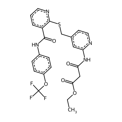 CCOC(=O)CC(=O)Nc1cc(CSc2ncccc2C(=O)Nc2ccc(OC(F)(F)F)cc2)ccn1